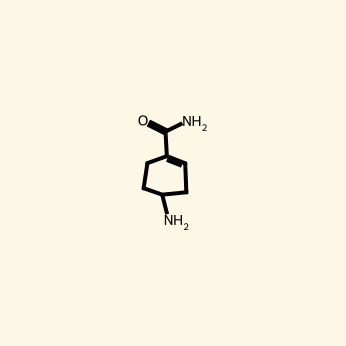 NC(=O)C1=CCC(N)CC1